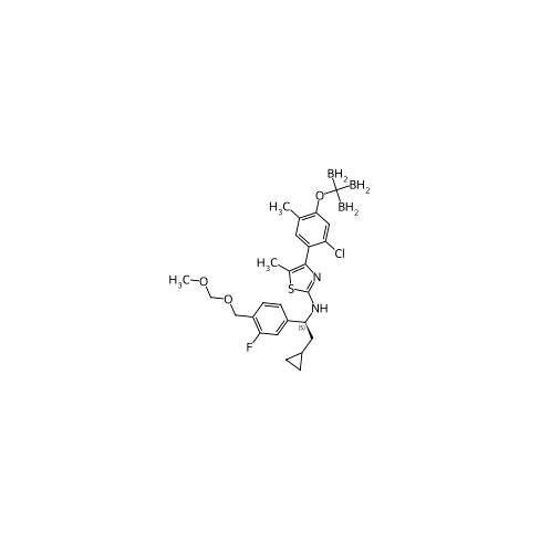 BC(B)(B)Oc1cc(Cl)c(-c2nc(N[C@@H](CC3CC3)c3ccc(COCOC)c(F)c3)sc2C)cc1C